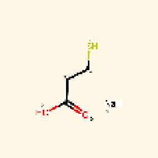 O=C(O)CCS.[NaH]